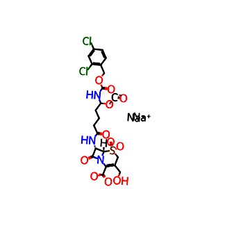 O=[C-]OC(CCCC(=O)N[C@H]1C(=O)N2C(C(=O)[O-])=C(CO)CS(=O)(=O)[C@@H]12)NC(=O)OCc1ccc(Cl)cc1Cl.[Na+].[Na+]